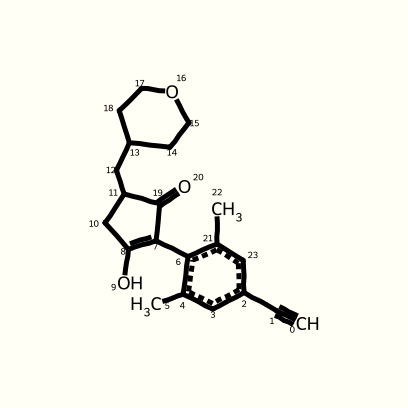 C#Cc1cc(C)c(C2=C(O)CC(CC3CCOCC3)C2=O)c(C)c1